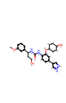 COc1cccc(C(CCO)NC(=O)Nc2ccc(-c3cn[nH]c3)cc2OC2CCC(O)CC2)c1